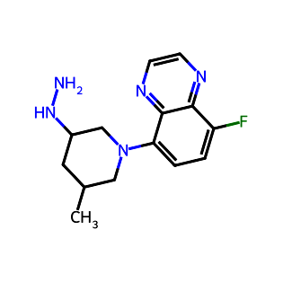 CC1CC(NN)CN(c2ccc(F)c3nccnc23)C1